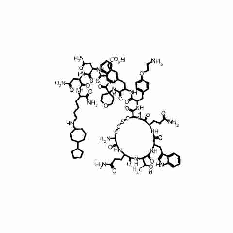 CC(O)C1NC(=O)C(CCC(N)=O)NC(=O)C(N)CCSCC(C(=O)NC(Cc2ccc(OCCN)cc2)C(=O)NC(Cc2ccc3ccccc3c2)C(=O)NC2(C(=O)NC(CCC(=O)O)C(=O)NC(CC(N)=O)C(=O)NC(CC(N)=O)C(=O)NC(CCCCNC3CCCC(C4CCCC4)CC3)C(N)=O)CCOCC2)NC(=O)C(CCC(N)=O)NC(=O)C(Cc2c[nH]c3ccccc23)NC1=O